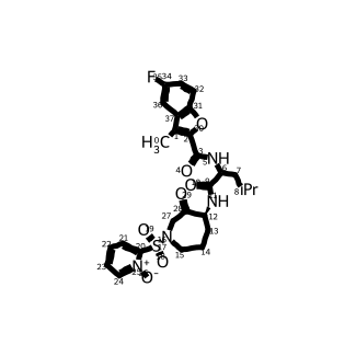 Cc1c(C(=O)NC(CC(C)C)C(=O)N[C@H]2CCCN(S(=O)(=O)c3cccc[n+]3[O-])CC2=O)oc2ccc(F)cc12